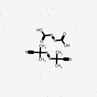 CC(C)(C#N)N=NC(C)(C)C#N.O=C(O)N=NC(=O)O